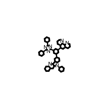 c1ccc(-c2nc(-c3ccccc3)nc(-c3cc(-c4ccc5c(c4)c4nc6ccccc6cc4n5-c4ccccc4)cc(-c4cc5cccnc5c5ncccc45)c3)n2)cc1